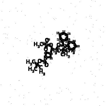 CC(C)(C)OC(=O)N1CC([C@@H](CO[Si](c2ccccc2)(c2ccccc2)C(C)(C)C)OS(C)(=O)=O)C1